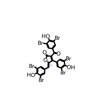 O=C1O/C(=C\c2cc(Br)c(O)c(Br)c2)C(c2cc(Br)c(O)c(Br)c2)=C1C(=O)c1cc(Br)c(O)c(Br)c1